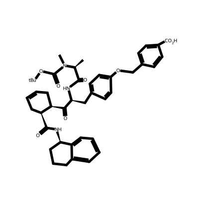 C[C@@H](C(=O)N[C@@H](Cc1ccc(OCc2ccc(C(=O)O)cc2)cc1)C(=O)[C@@H]1CC=CC[C@@H]1C(=O)N[C@@H]1CCCc2ccccc21)N(C)C(=O)OC(C)(C)C